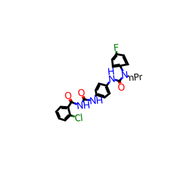 CCCN(C(=O)Nc1ccc(NC(=O)NC(=O)c2ccccc2Cl)cc1)c1ccc(F)cc1